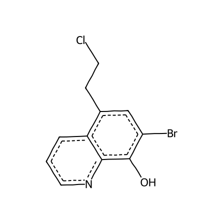 Oc1c(Br)cc(CCCl)c2cccnc12